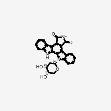 O=C1NC(=O)c2c1c1c3ccccc3[nH]c1c1c2c2ccccc2n1[C@H]1C[C@@H](O)[C@@H](O)CO1